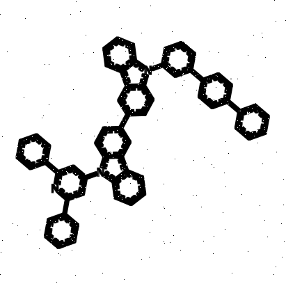 c1ccc(-c2ccc(-c3cccc(-n4c5ccccc5c5cc(-c6ccc7c(c6)c6ccccc6n7-c6cc(-c7ccccc7)nc(-c7ccccc7)c6)ccc54)c3)cc2)cc1